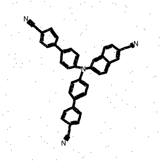 N#Cc1ccc(-c2ccc(N(c3ccc(-c4ccc(C#N)cc4)cc3)c3ccc4cc(C#N)ccc4c3)cc2)cc1